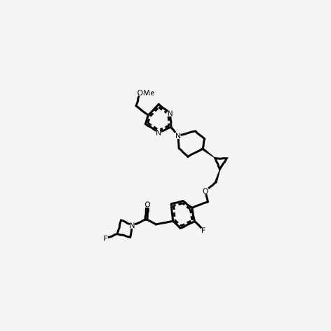 COCc1cnc(N2CCC([C@H]3C[C@H]3COCc3ccc(CC(=O)N4CC(F)C4)cc3F)CC2)nc1